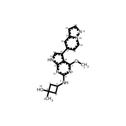 COc1nc(NC2CC(C)(O)C2)nc2[nH]cc(-c3ccn4nccc4c3)c12